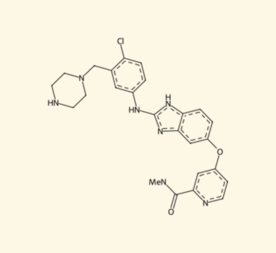 CNC(=O)c1cc(Oc2ccc3[nH]c(Nc4ccc(Cl)c(CN5CCNCC5)c4)nc3c2)ccn1